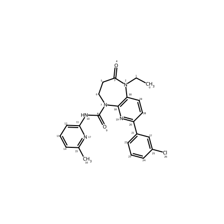 CCN1C(=O)CCN(C(=O)Nc2cccc(C)n2)c2nc(-c3cccc(Cl)c3)ccc21